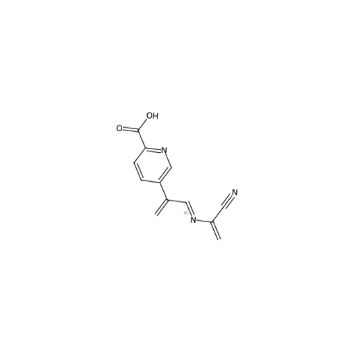 C=C(C#N)/N=C/C(=C)c1ccc(C(=O)O)nc1